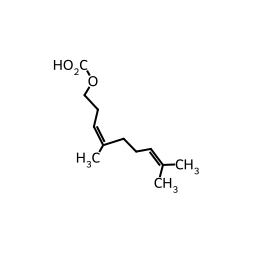 CC(C)=CCC/C(C)=C\CCOC(=O)O